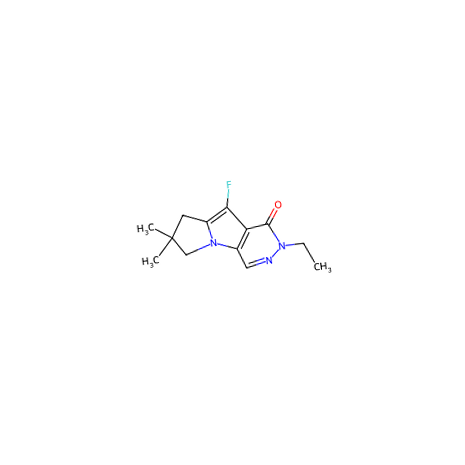 CCn1ncc2c(c(F)c3n2CC(C)(C)C3)c1=O